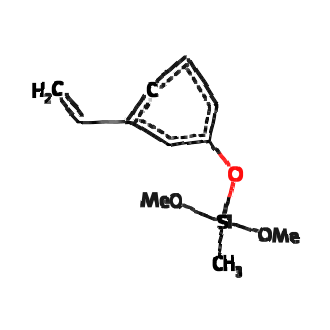 C=Cc1cccc(O[Si](C)(OC)OC)c1